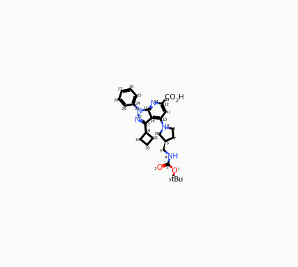 CC(C)(C)OC(=O)NC[C@@H]1CCN(c2cc(C(=O)O)nc3c2c(C2CCC2)nn3-c2ccccc2)C1